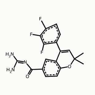 CC1(C)C=C(c2ccc(F)c(F)c2F)c2cc(C(=O)N=C(N)N)ccc2O1